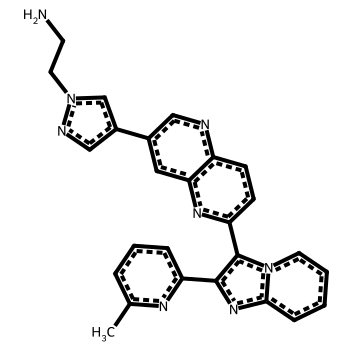 Cc1cccc(-c2nc3ccccn3c2-c2ccc3ncc(-c4cnn(CCN)c4)cc3n2)n1